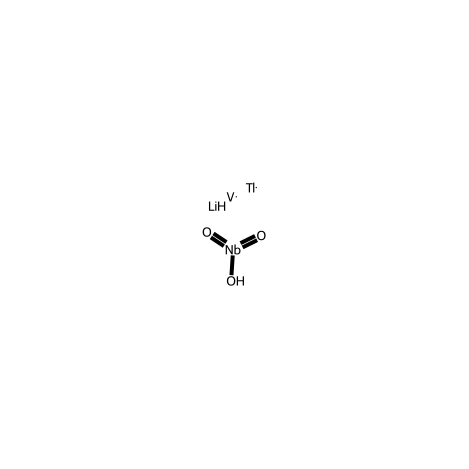 [LiH].[O]=[Nb](=[O])[OH].[Tl].[V]